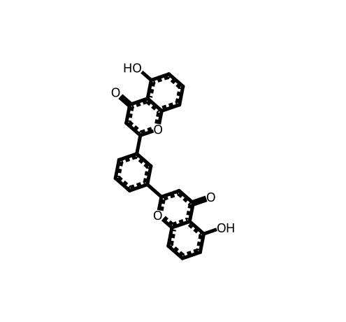 O=c1cc(-c2cccc(-c3cc(=O)c4c(O)cccc4o3)c2)oc2cccc(O)c12